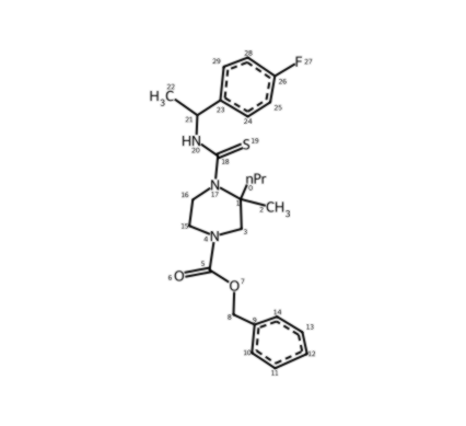 CCCC1(C)CN(C(=O)OCc2ccccc2)CCN1C(=S)NC(C)c1ccc(F)cc1